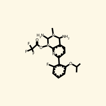 CC(C)Oc1cccc(F)c1-c1ccc2c(n1)N(OC(=O)C(F)(F)F)C(N)N(C)C2N